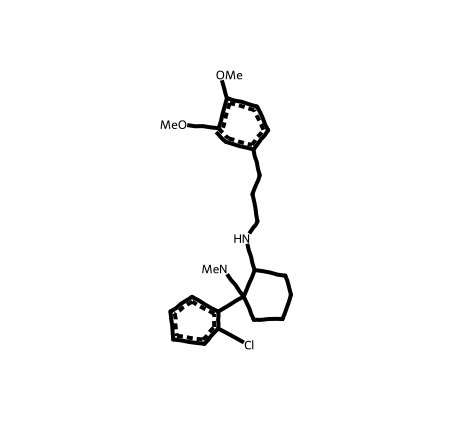 CNC1(c2ccccc2Cl)CCCCC1NCCCc1ccc(OC)c(OC)c1